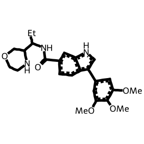 CCC(NC(=O)c1ccc2c(-c3cc(OC)c(OC)c(OC)c3)c[nH]c2c1)C1COCCN1